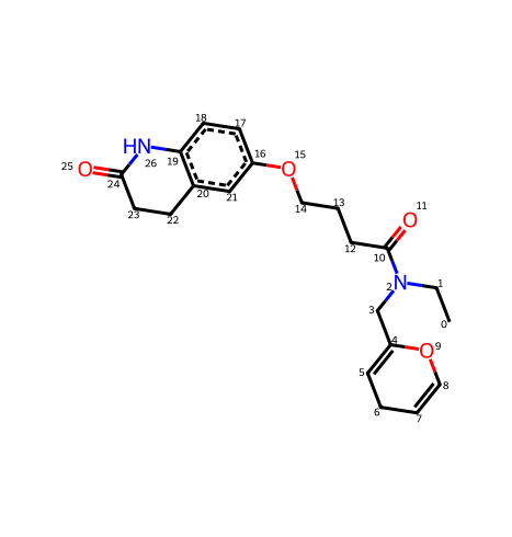 CCN(CC1=CCC=CO1)C(=O)CCCOc1ccc2c(c1)CCC(=O)N2